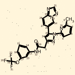 Cc1cccc(-n2nc(CC(=O)Nc3cccc(OC(F)(F)F)c3)cc2-c2ccc3ncnn3c2)n1